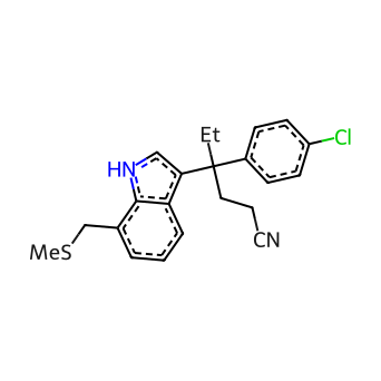 CCC(CCC#N)(c1ccc(Cl)cc1)c1c[nH]c2c(CSC)cccc12